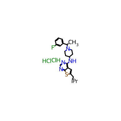 CC(C)Cc1cc2c(NC3CCN(C(C)c4cccc(F)c4)CC3)ncnc2s1.Cl.Cl